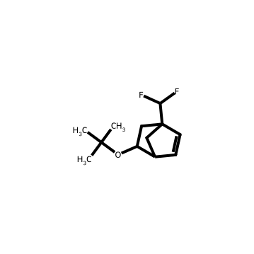 CC(C)(C)OC1CC2(C(F)F)C=CC1C2